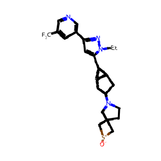 CCn1nc(-c2cncc(C(F)(F)F)c2)cc1C1C2CC(N3CCC4(C3)C[S+]([O-])C4)CC21